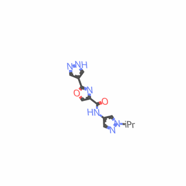 CC(C)n1cc(NC(=O)c2coc(-c3cn[nH]c3)n2)cn1